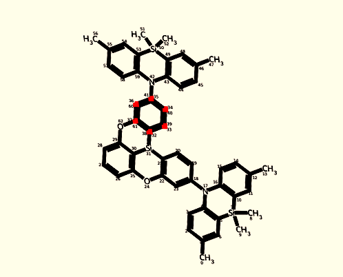 Cc1ccc2c(c1)[Si](C)(C)c1cc(C)ccc1N2c1ccc2c(c1)Oc1cccc3c1[Si]2(c1ccccc1)c1ccc(N2c4ccc(C)cc4[Si](C)(C)c4cc(C)ccc42)cc1O3